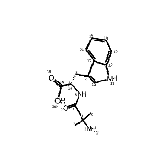 CC(C)(N)C(=O)N[C@@H](Cc1c[nH]c2ccccc12)C(=O)O